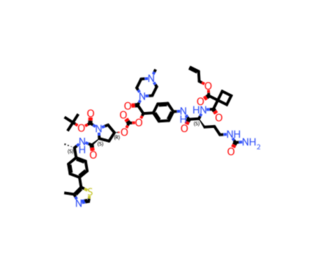 C=CCOC(=O)C1(C(=O)N[C@@H](CCCNC(N)=O)C(=O)Nc2ccc(C(OC(=O)O[C@@H]3C[C@@H](C(=O)N[C@@H](C)c4ccc(-c5scnc5C)cc4)N(C(=O)OC(C)(C)C)C3)C(=O)N3CCN(C)CC3)cc2)CCC1